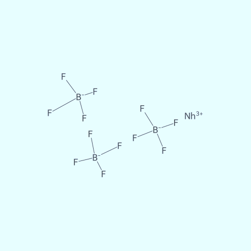 F[B-](F)(F)F.F[B-](F)(F)F.F[B-](F)(F)F.[Nh+3]